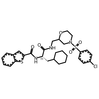 O=C(N[C@@H](CC1CCCCC1)C(=O)NCC1CN(S(=O)(=O)c2ccc(Cl)cc2)CCO1)c1cc2ccccc2s1